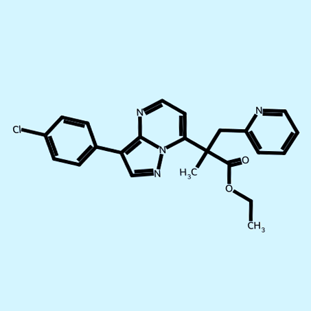 CCOC(=O)C(C)(Cc1ccccn1)c1ccnc2c(-c3ccc(Cl)cc3)cnn12